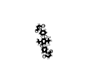 CC(C)(C)c1cc(Oc2ccc(N3C(=O)C=CC3=O)cc2)c(C(C)(C)C)cc1Oc1ccc(N2C(=O)C=CC2=O)cc1